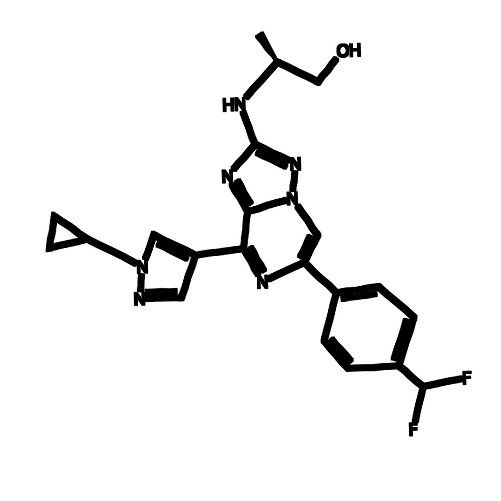 C[C@@H](CO)Nc1nc2c(-c3cnn(C4CC4)c3)nc(-c3ccc(C(F)F)cc3)cn2n1